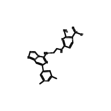 Cc1cc(C)cc(-c2cc3nccn3c(NCCNc3ccc([N+](=O)[O-])c(N)n3)n2)c1